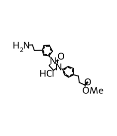 COC(=O)CCc1ccc(N2CCN(c3cccc(CCN)c3)C2=O)cc1.Cl